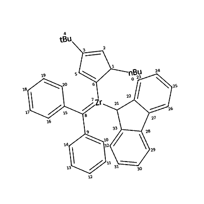 CCCCC1C=C(C(C)(C)C)C=[C]1[Zr](=[C](c1ccccc1)c1ccccc1)[CH]1c2ccccc2-c2ccccc21